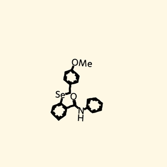 COc1ccc(C[Se]c2ccccc2C(=O)Nc2ccccc2)cc1